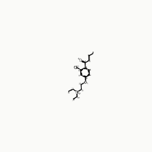 CCCC(=O)c1ccc(OCCN(CC)CC)cc1Cl